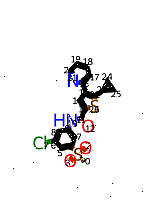 CS(=O)(=O)c1cc(Cl)cc(NC(=O)c2cc(-c3ccccn3)c(C3CC3)s2)c1